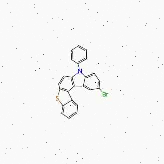 Brc1ccc2c(c1)c1c3c(ccc1n2-c1ccccc1)sc1ccccc13